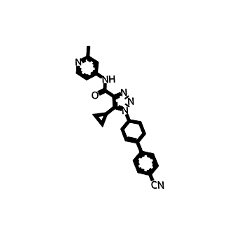 Cc1cc(NC(=O)c2nnn(C3CC=C(c4ccc(C#N)cc4)CC3)c2C2CC2)ccn1